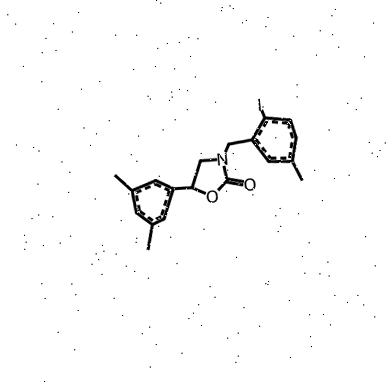 Cc1cc(C)cc(C2CN(Cc3cc(C)ccc3I)C(=O)O2)c1